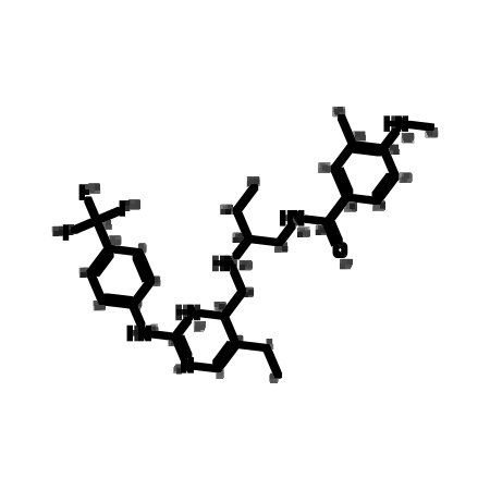 CCC1=CN=C(Nc2ccc(C(F)(F)F)cc2)NC1CNC(CC)CNC(=O)c1ccc(NC)c(C)c1